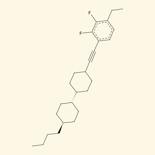 CCCC[C@H]1CC[C@H](C2CCC(C#Cc3ccc(CC)c(F)c3F)CC2)CC1